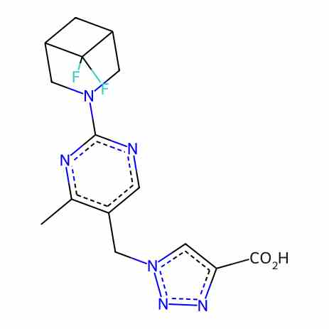 Cc1nc(N2CC3CC(C2)C3(F)F)ncc1Cn1cc(C(=O)O)nn1